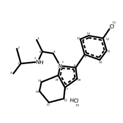 CC(C)NC(C)Cn1c(-c2ccc(Cl)cc2)cc2c1CCCC2.Cl